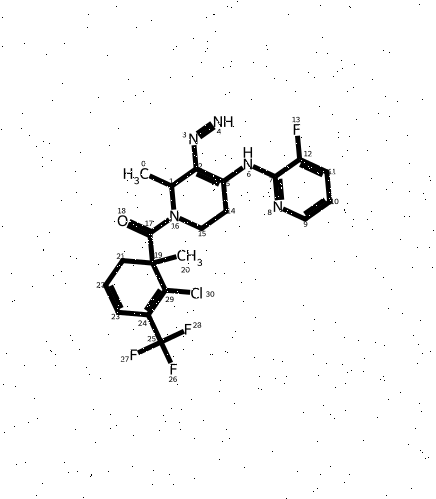 CC1C(N=N)=C(Nc2ncccc2F)CCN1C(=O)C1(C)CC=CC(C(F)(F)F)=C1Cl